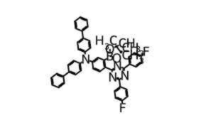 CC1(C)OB(c2cc(N(c3ccc(-c4ccccc4)cc3)c3ccc(-c4ccccc4)cc3)ccc2-c2nc(-c3ccc(F)cc3)nc(-c3ccc(F)cc3)n2)OC1(C)C